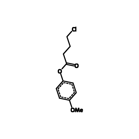 COc1ccc(OC(=O)CCCCl)cc1